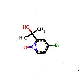 CC(C)(O)c1cc(Br)cc[n+]1[O-]